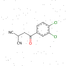 N#CC(C#N)CC(=O)c1ccc(Cl)c(Cl)c1